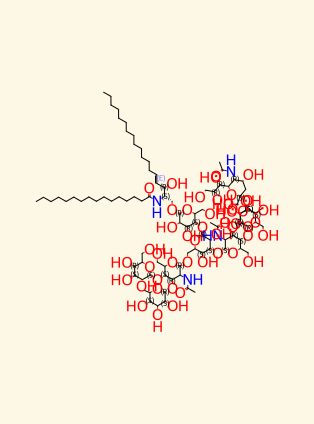 CCCCCCCCCCCCC/C=C/[C@@H](O)[C@H](CO[C@@H]1OC(CO)[C@@H](O[C@@H]2OC(CO[C@@H]3OC(CO)[C@@H](O[C@@H]4OC(CO)[C@H](O)[C@H](O)C4O)[C@H](O[C@H]4OC(C)[C@@H](O)C(O)[C@@H]4O)C3NC(C)=O)[C@H](O)[C@H](O[C@@H]3OC(CO)[C@@H](O[C@H]4OC(C)[C@@H](O)C(O)[C@@H]4O)[C@H](O[C@@H]4OC(CO)[C@H](O)[C@H](O[C@]5(C(=O)O)CC(O)[C@@H](NC(C)=O)C([C@H](O)[C@H](O)CO)O5)C4O)C3NC(C)=O)C2O)[C@H](O)C1O)NC(=O)CCCCCCCCCCCCCCC